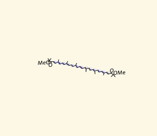 COC(C)(C)C(=O)/C=C/C(C)=C/C=C/C(C)=C/C=C/C(C)=C/C=C/C=C(C)/C=C/C=C(C)/C=C/C=C(C)/C=C/C(=O)C(C)(C)OC